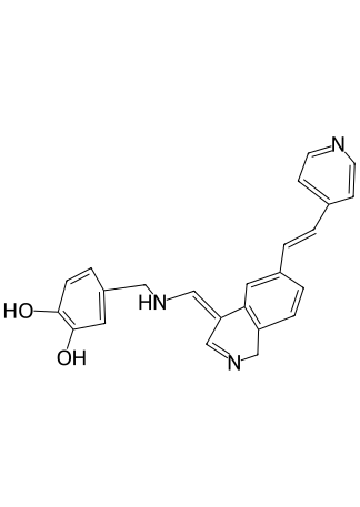 Oc1ccc(CNC=C2C=NCc3ccc(C=Cc4ccncc4)cc32)cc1O